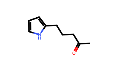 CC(=O)CCCc1ccc[nH]1